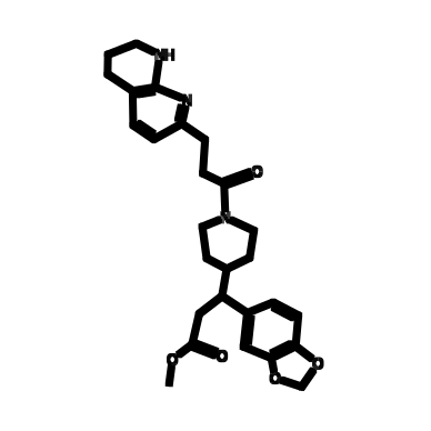 COC(=O)CC(c1ccc2c(c1)OCO2)C1CCN(C(=O)CCc2ccc3c(n2)NCCC3)CC1